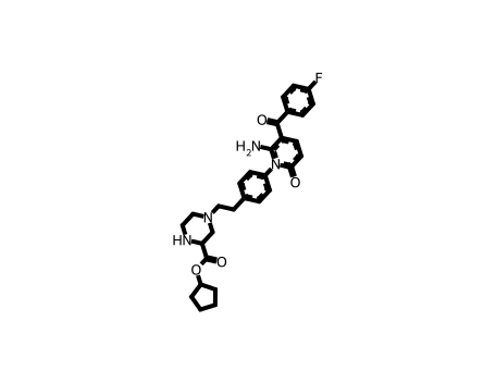 Nc1c(C(=O)c2ccc(F)cc2)ccc(=O)n1-c1ccc(CCN2CCNC(C(=O)OC3CCCC3)C2)cc1